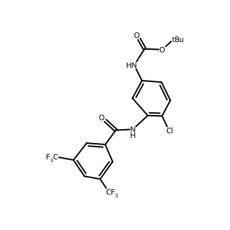 CC(C)(C)OC(=O)Nc1ccc(Cl)c(NC(=O)c2cc(C(F)(F)F)cc(C(F)(F)F)c2)c1